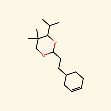 CC(C)C1OC(CCC2CC=CCC2)OCC1(C)C